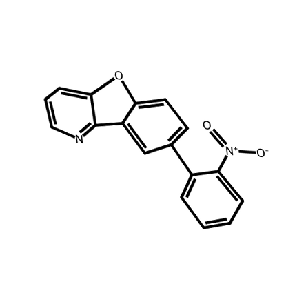 O=[N+]([O-])c1ccccc1-c1ccc2oc3cccnc3c2c1